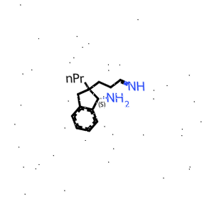 CCCC1(CCC=N)Cc2ccccc2[C@H]1N